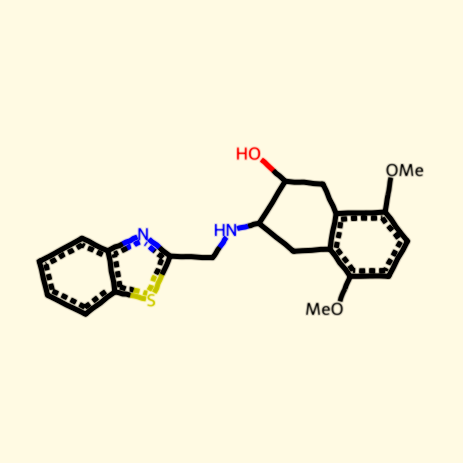 COc1ccc(OC)c2c1CC(O)C(NCc1nc3ccccc3s1)C2